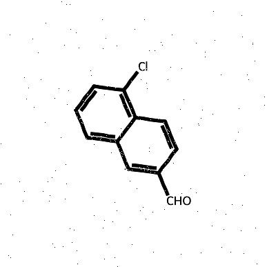 O=Cc1[c]c2cccc(Cl)c2cc1